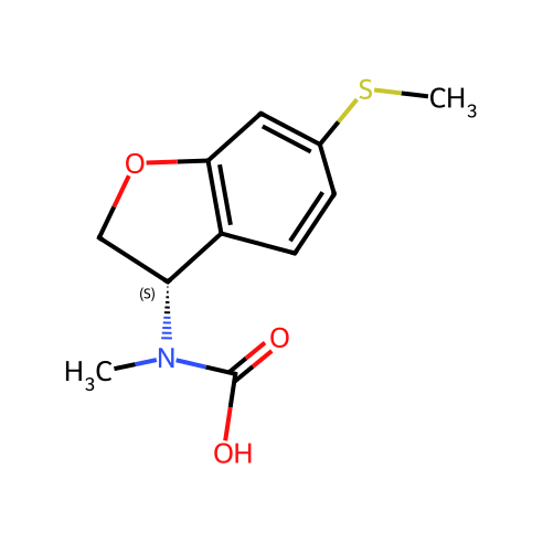 CSc1ccc2c(c1)OC[C@H]2N(C)C(=O)O